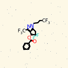 O=C(O[C@H]1c2c(C(F)(F)F)nn(CCCC(F)(F)F)c2CC1(F)F)c1ccccc1